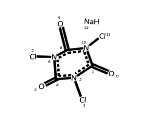 O=c1n(Cl)c(=O)n(Cl)c(=O)n1Cl.[NaH]